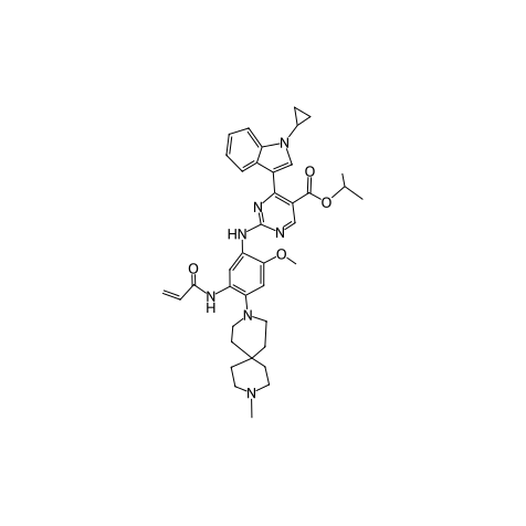 C=CC(=O)Nc1cc(Nc2ncc(C(=O)OC(C)C)c(-c3cn(C4CC4)c4ccccc34)n2)c(OC)cc1N1CCC2(CCN(C)CC2)CC1